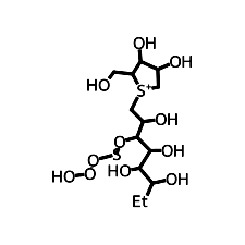 CCC(O)C(O)C(O)C(OSOOO)C(O)C[S+]1CC(O)C(O)C1CO